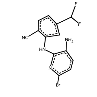 N#Cc1ccc(C(F)F)cc1Nc1nc(Br)ccc1N